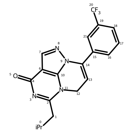 CC(C)Cc1nc(=O)c2cnn3c2n1CC=C3c1cccc(C(F)(F)F)c1